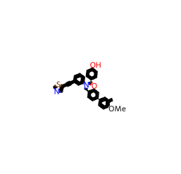 COc1ccc([C@H]2CC[C@H](CN(c3cccc(C#Cc4cncs4)c3)C(=O)[C@H]3CC[C@H](O)CC3)CC2)cc1C